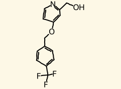 OCc1cc(OCc2ccc(C(F)(F)F)cc2)ccn1